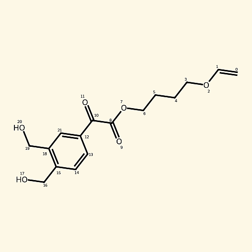 C=COCCCCOC(=O)C(=O)c1ccc(CO)c(CO)c1